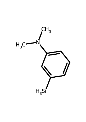 CN(C)c1cccc([SiH3])c1